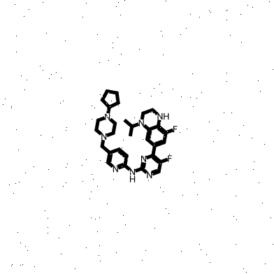 CC(C)N1CCNc2c(F)cc(-c3nc(Nc4ccc(CN5CCN(C6CCCC6)CC5)cn4)ncc3F)cc21